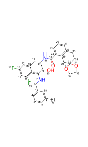 CCc1cccc(CNC[C@@H](O)[C@H](Cc2cc(F)cc(F)c2)NC(=O)c2cccc3c2CC2(CC3)OCCO2)c1